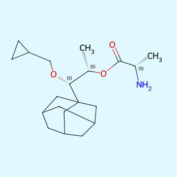 C[C@H](N)C(=O)O[C@@H](C)[C@@H](OCC1CC1)C12CC3CC(CC(C3)C1)C2